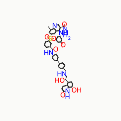 COc1cccc(Nc2c(C(N)=O)cnc3c(C)cc(S(=O)(=O)c4cccc(C(=O)Nc5ccc(-c6ccc(CNC[C@H](O)c7ccc(O)c8[nH]c(=O)ccc78)cc6)cc5)c4)cc23)c1